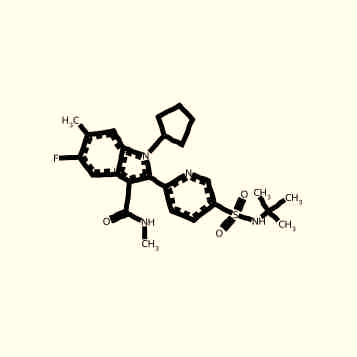 CNC(=O)c1c(-c2ccc(S(=O)(=O)NC(C)(C)C)cn2)n(C2CCCC2)c2cc(C)c(F)cc12